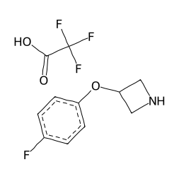 Fc1ccc(OC2CNC2)cc1.O=C(O)C(F)(F)F